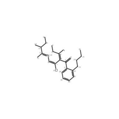 C=C(C(=C(\C)CC)/C(Cl)=C\N=C(/C)C(C)CC)c1ccccc1CCCC